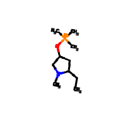 CCC1CC(O[PH](C)(C)C)CN1C